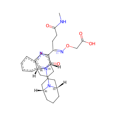 CNC(=O)CC/C(=N\OCC(=O)O)c1nc2ccccc2n(C2C[C@H]3CCC[C@@H](C2)N3C2C[C@H]3CCC[C@@H](C2)C3)c1=O